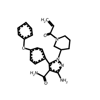 C=CC(=O)N1CCCC(n2nc(N)c(C(N)=O)c2-c2ccc(Oc3ccccc3)cc2)C1